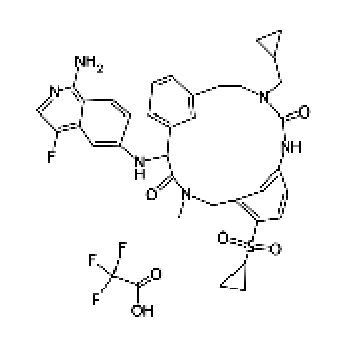 CN1Cc2cc(ccc2S(=O)(=O)C2CC2)NC(=O)N(CC2CC2)CCc2cccc(c2)C(Nc2ccc3c(N)ncc(F)c3c2)C1=O.O=C(O)C(F)(F)F